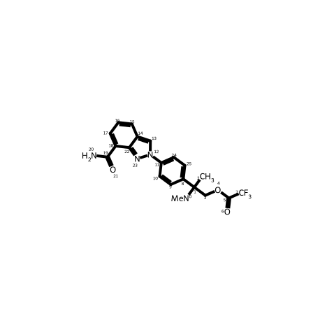 CNC(C)(COC(=O)C(F)(F)F)c1ccc(-n2cc3cccc(C(N)=O)c3n2)cc1